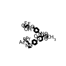 CCCN(Cc1nccn1-c1ccc(N2CCc3c(S(C)(=O)=O)nn(-c4ccc(OC)cc4)c3C2=O)cc1)C(C)=O.O=C(O)C(F)(F)F